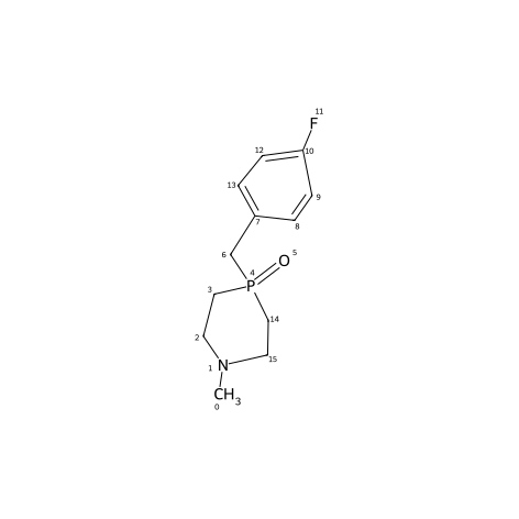 CN1CCP(=O)(Cc2ccc(F)cc2)CC1